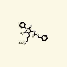 CCOC(=O)CCCC1C(NC(=O)OCc2ccccc2)C(=O)N(c2ccccc2)N1C